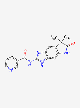 CC1(C)C(=O)Nc2cc3[nH]c(NC(=O)c4cccnc4)nc3cc21